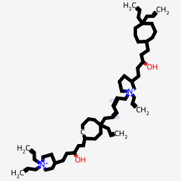 C=CCC1(CC=C)CCCC(CCC(O)CCC2CCC[N+](CC=C)(C/C=C\C=C/CC3(CC=C)CCCCC(CCC(O)CCC4CC[N+](CC=C)(CC=C)CC4)CC3)C2)CCC1